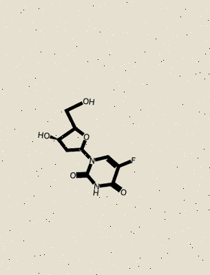 O=c1[nH]c(=O)n(C2C[C@@H](O)C(CO)O2)cc1F